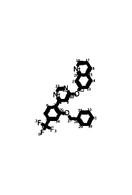 FC(F)(F)c1ccc(-c2cc(Oc3ccc4cccnc4c3)ncn2)c(OCc2ccccc2)c1